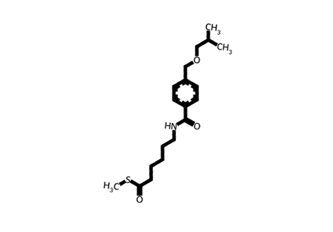 CSC(=O)CCCCCNC(=O)c1ccc(COCC(C)C)cc1